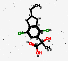 CCC1Cc2c(Cl)cc(C(C)(O)C(=O)O)c(Cl)c2C1